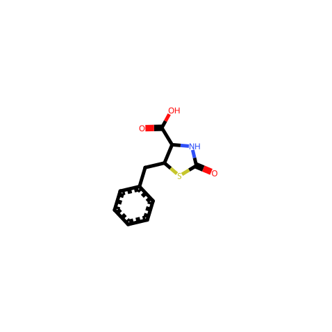 O=C1NC(C(=O)O)C(Cc2ccccc2)S1